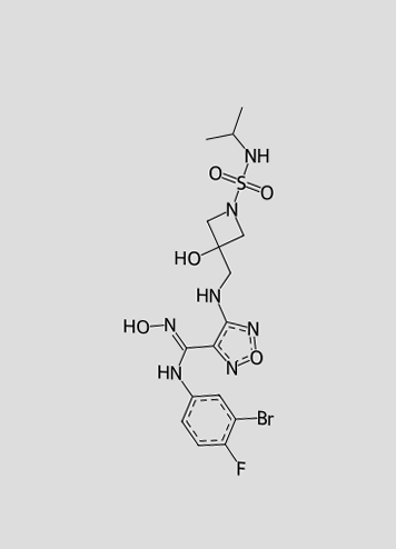 CC(C)NS(=O)(=O)N1CC(O)(CNc2nonc2/C(=N/O)Nc2ccc(F)c(Br)c2)C1